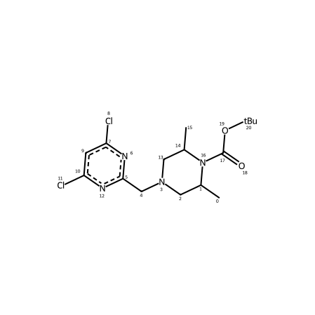 CC1CN(Cc2nc(Cl)cc(Cl)n2)CC(C)N1C(=O)OC(C)(C)C